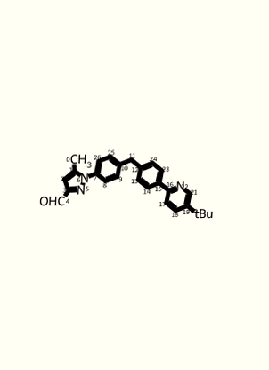 Cc1cc(C=O)nn1-c1ccc(Cc2ccc(-c3ccc(C(C)(C)C)cn3)cc2)cc1